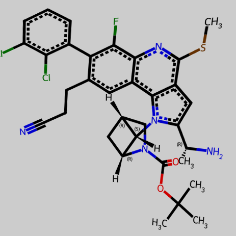 CSc1nc2c(F)c(-c3cccc(Cl)c3Cl)c(CCC#N)cc2c2c1cc([C@@H](C)N)n2[C@H]1[C@@H]2C[C@H]1N(C(=O)OC(C)(C)C)C2